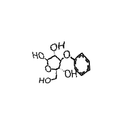 OC[C@H]1OC(O)[C@H](O)[C@@H](Oc2ccccc2)[C@@H]1O